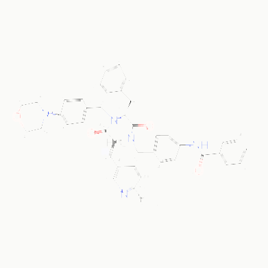 CN(Cc1ccc(NC(=O)c2ccccc2)cc1)C(=O)[C@H](Cc1ccccc1)N(Cc1ccc(N2CCOCC2)cc1)C(=O)/C=C/c1ccc(C(F)(F)F)nc1